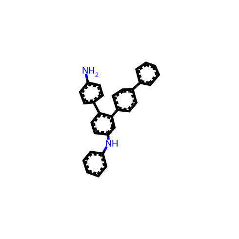 Nc1ccc(-c2ccc(Nc3ccccc3)cc2-c2ccc(-c3ccccc3)cc2)cc1